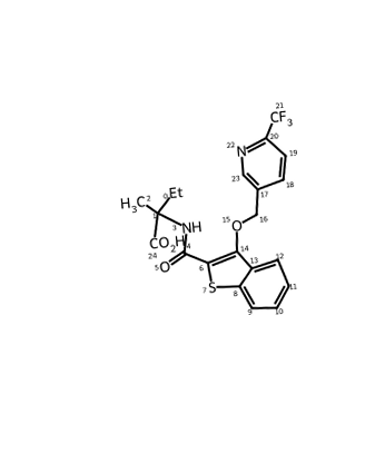 CCC(C)(NC(=O)c1sc2ccccc2c1OCc1ccc(C(F)(F)F)nc1)C(=O)O